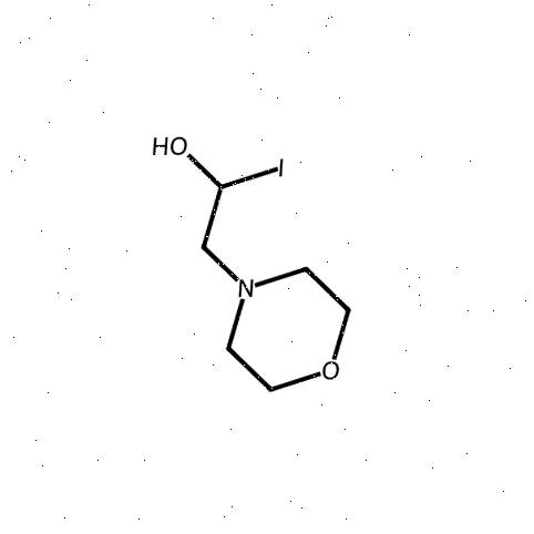 OC(I)CN1CCOCC1